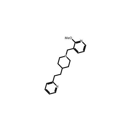 COc1ncccc1CN1CCC(CCc2ccccn2)CC1